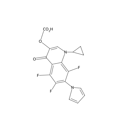 O=C(O)Oc1cn(C2CC2)c2c(F)c(-n3cccc3)c(F)c(F)c2c1=O